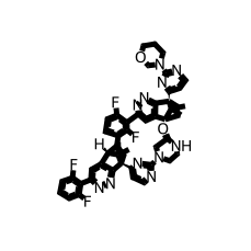 CC1(C)C2CC[C@]1(c1ccnc(N3CCCOC3)n1)c1nnc(-c3c(F)ccc(C4C[C@]5(c6ccnc(N7CCNC(=O)C7)n6)c6nnc(-c7c(F)cccc7F)cc6[C@H]4C5(C)C)c3F)cc12